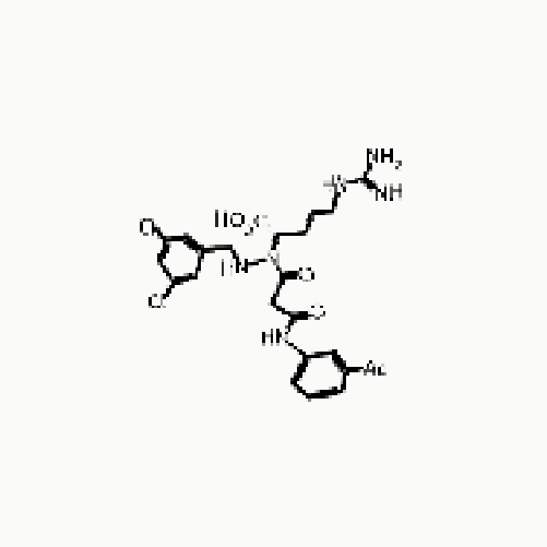 CC(=O)c1cccc(NC(=O)CC(=O)N(NCc2cc(Cl)cc(Cl)c2)[C@@H](CCCNC(=N)N)C(=O)O)c1